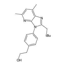 Cc1cc(C)c2nc(CC(C)(C)C)n(-c3ccc(CCO)cc3)c2n1